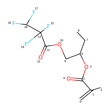 C=C(C)C(=O)OC(CC)COC(=O)C(F)(F)C(F)F